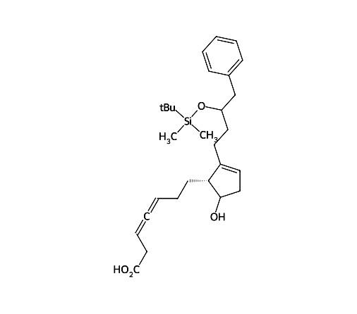 CC(C)(C)[Si](C)(C)OC(CCC1=CCC(O)[C@@H]1CCC=C=CCC(=O)O)Cc1ccccc1